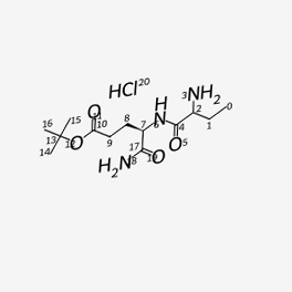 CCC(N)C(=O)N[C@H](CCC(=O)OC(C)(C)C)C(N)=O.Cl